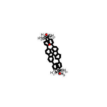 C[Si](C)(C)c1ccc(-c2ccc3c(c2)C2(c4cc(-c5ccc([Si](C)(C)C)cc5)ccc4-3)c3cc(-c4ccc([Si](C)(C)C)cc4)ccc3-c3ccc(-c4ccc([Si](C)(C)C)cc4)cc32)cc1